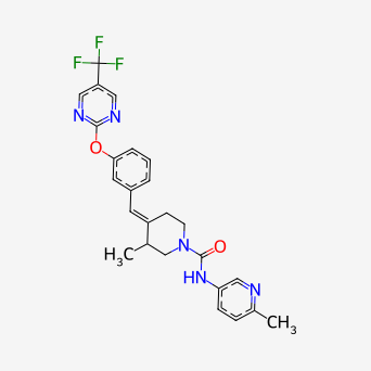 Cc1ccc(NC(=O)N2CCC(=Cc3cccc(Oc4ncc(C(F)(F)F)cn4)c3)C(C)C2)cn1